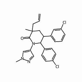 C=CCC1(C)CC(c2cccc(Cl)c2)C(c2ccc(Cl)cc2)N(c2cnn(C)c2)C1=O